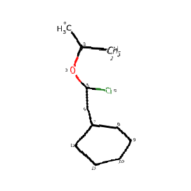 CC(C)OC(Cl)CC1CCCCC1